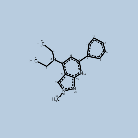 CCN(CC)c1cc(-c2ccccc2)nc2nn(C)cc12